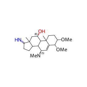 CN[C@@H]1C=C2C(OC)C(OC)CCC2(C)C2C1C1CCC(=N)C1(C)C[C@H]2O